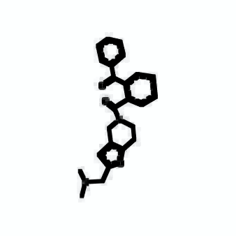 CN(C)Cc1cc2c(o1)CCN(C(=O)c1ccccc1C(=O)c1ccccc1)C2